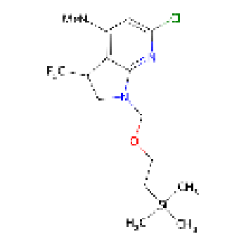 CNc1cc(Cl)nc2c1C(C(F)(F)F)CN2COCC[Si](C)(C)C